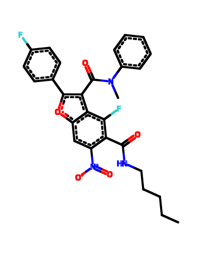 CCCCCNC(=O)c1c([N+](=O)[O-])cc2oc(-c3ccc(F)cc3)c(C(=O)N(C)c3ccccc3)c2c1F